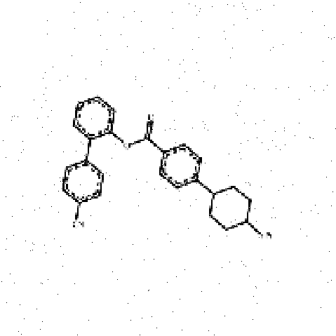 CCCC1CCC(c2ccc(C(=O)Oc3ccccc3-c3ccc(C#N)cc3)cc2)CC1